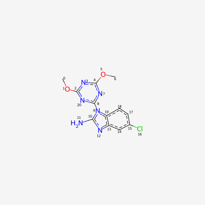 COc1nc(OC)nc(-n2c(N)nc3cc(Cl)ccc32)n1